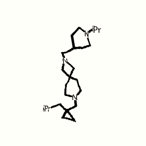 CC(C)CC1(CN2CCC3(CC2)CN(CC2CCN(C(C)C)CC2)C3)CC1